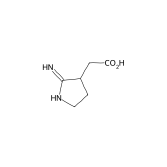 N=C1NCCC1CC(=O)O